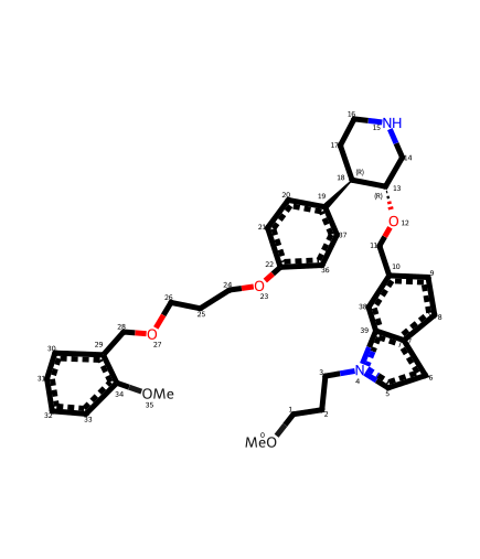 COCCCn1ccc2ccc(CO[C@H]3CNCC[C@@H]3c3ccc(OCCCOCc4ccccc4OC)cc3)cc21